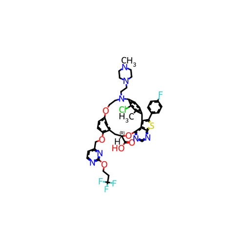 Cc1c2ccc(c1Cl)N(CCN1CCN(C)CC1)CCOc1ccc(OCc3ccnc(OCCC(F)(F)F)n3)c(c1)C[C@H](C(=O)O)Oc1ncnc3sc(-c4ccc(F)cc4)c-2c13